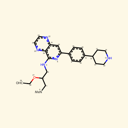 CNCC(CNc1nc(-c2ccc(C3CCNCC3)cc2)cc2nccnc12)OCC=O